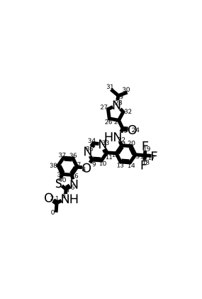 CC(=O)Nc1nc2c(Oc3cc(-c4ccc(C(F)(F)F)cc4NC(=O)C4CCN(C(C)C)C4)ncn3)cccc2s1